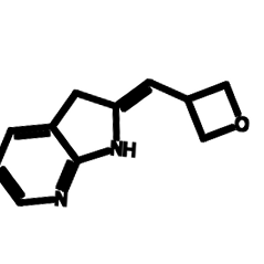 C(=C1Cc2cccnc2N1)C1COC1